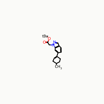 CC1CC=C(c2ccc3cnn(CC(=O)OC(C)(C)C)c3c2)CC1